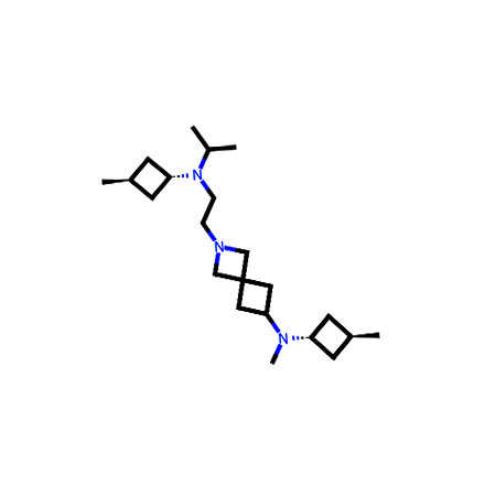 CC(C)N(CCN1CC2(CC(N(C)[C@H]3C[C@H](C)C3)C2)C1)[C@H]1C[C@H](C)C1